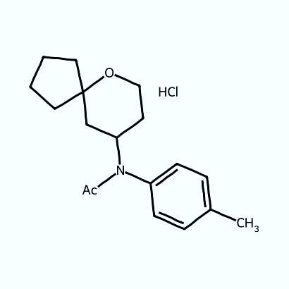 CC(=O)N(c1ccc(C)cc1)C1CCOC2(CCCC2)C1.Cl